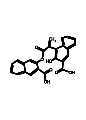 C=C(C(=O)Oc1cc2ccccc2cc1C(=O)O)c1c(O)c(C(=O)O)cc2ccccc12